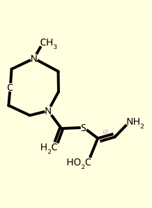 C=C(S/C(=C\N)C(=O)O)N1CCCCN(C)CC1